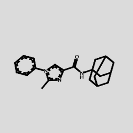 Cc1nc(C(=O)NC23CC4CC(CC(C4)C2)C3)cn1-c1ccccc1